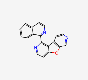 c1ccc2c(-c3nccc4oc5cnccc5c34)nccc2c1